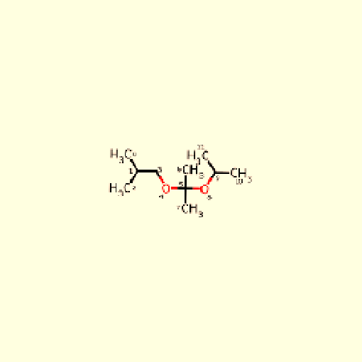 CC(C)COC(C)(C)OC(C)C